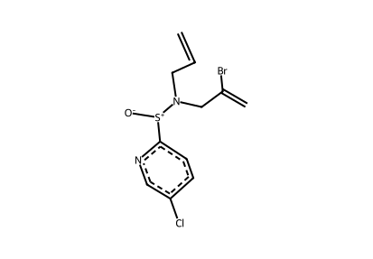 C=CCN(CC(=C)Br)[S+]([O-])c1ccc(Cl)cn1